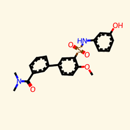 COc1ccc(-c2cccc(C(=O)N(C)C)c2)cc1S(=O)(=O)Nc1cccc(O)c1